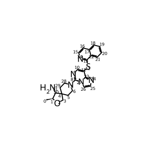 C[C@@H]1OCC2(CCN(c3ncc(Sc4nccc5ccccc45)c4nccn34)CC2)[C@@H]1N